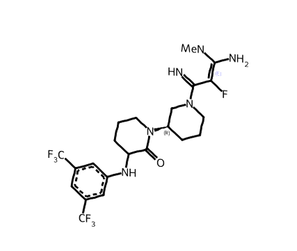 CN/C(N)=C(/F)C(=N)N1CCC[C@@H](N2CCCC(Nc3cc(C(F)(F)F)cc(C(F)(F)F)c3)C2=O)C1